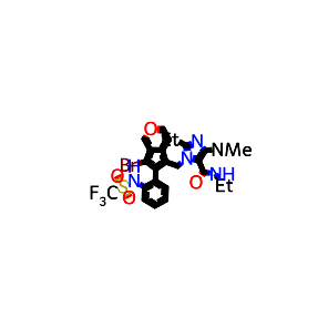 CCNC(=O)c1c(NC)nc(CC)n1Cc1c2ccocc-2c(Br)c1-c1ccccc1NS(=O)(=O)C(F)(F)F